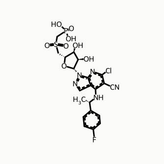 C[C@H](Nc1c(C#N)c(Cl)nc2c1cnn2[C@@H]1O[C@H](CS(=O)(=O)CP(=O)(O)O)[C@@H](O)[C@H]1O)c1ccc(F)cc1